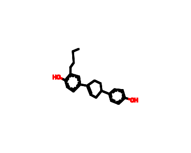 CCCCc1cc(C2=CCC(c3ccc(O)cc3)CC2)ccc1O